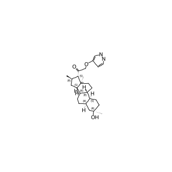 C[C@@H]1C[C@H]2[C@@H]3CC[C@@H]4C[C@](C)(O)CC[C@@H]4[C@H]3CC[C@]2(C)[C@H]1C(=O)COc1ccnnc1